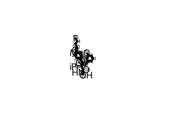 COc1cccc(CN([C@@H](C(=O)NO)C(C)C)S(=O)(=O)c2ccc(OCCCF)cc2)c1